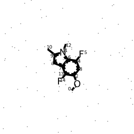 COc1cc(F)c2c(cc(C)n2C)c1F